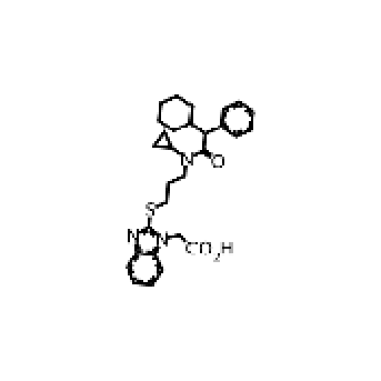 O=C(O)Cn1c(SCCCN(C(=O)C(c2ccccc2)C2CCCCC2)C2CC2)nc2ccccc21